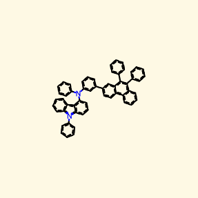 c1ccc(-c2c(-c3ccccc3)c3cc(-c4cccc(N(c5ccccc5)c5cccc6c5c5ccccc5n6-c5ccccc5)c4)ccc3c3ccccc23)cc1